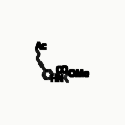 COC(=O)C(C)NC(=O)c1cccc(C#CCCCC(C)=O)c1